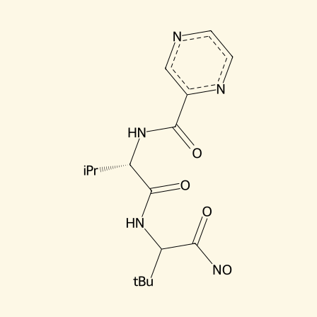 CC(C)[C@H](NC(=O)c1cnccn1)C(=O)NC(C(=O)N=O)C(C)(C)C